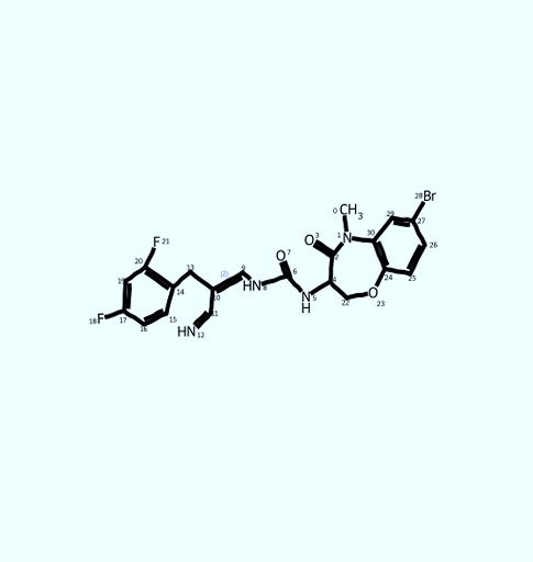 CN1C(=O)C(NC(=O)N/C=C(\C=N)Cc2ccc(F)cc2F)COc2ccc(Br)cc21